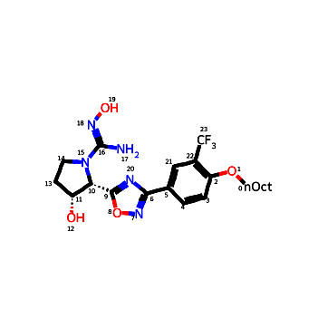 CCCCCCCCOc1ccc(-c2noc([C@@H]3[C@H](O)CCN3/C(N)=N/O)n2)cc1C(F)(F)F